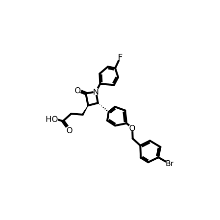 O=C(O)CC[C@H]1C(=O)N(c2ccc(F)cc2)[C@@H]1c1ccc(OCc2ccc(Br)cc2)cc1